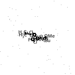 COC(=O)C[C@H](NC(=O)c1ccc(-c2ncc(F)cc2Cl)c(-c2ccc(Cl)c(OCCCN(C)C)c2)n1)C(C)(C)C